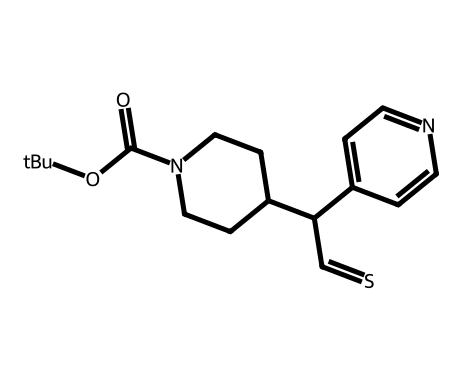 CC(C)(C)OC(=O)N1CCC(C(C=S)c2ccncc2)CC1